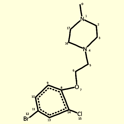 CN1CCN(CCOc2ccc(Br)cc2Cl)CC1